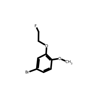 COc1ccc(Br)cc1OCCF